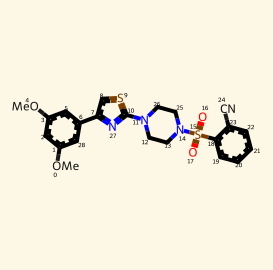 COc1cc(OC)cc(-c2csc(N3CCN(S(=O)(=O)c4ccccc4C#N)CC3)n2)c1